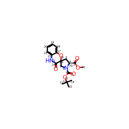 COC(=O)[C@@H]1CC2(CN1C(=O)OC(C)(C)C)Oc1ccccc1NC2=O